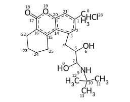 Cc1cc(CC(O)C(O)NC(C)(C)C)c2c3c(c(=O)oc2c1)CCCC3.Cl